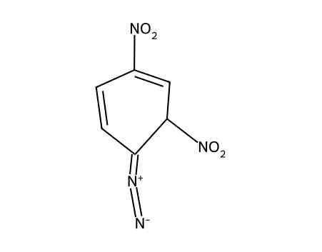 [N-]=[N+]=C1C=CC([N+](=O)[O-])=CC1[N+](=O)[O-]